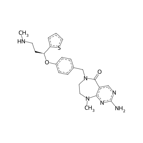 CNCC[C@H](Oc1ccc(CN2CCN(C)c3nc(N)ncc3C2=O)cc1)c1cccs1